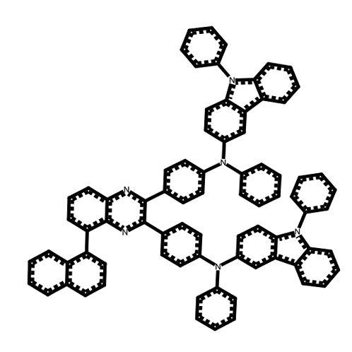 c1ccc(N(c2ccc(-c3nc4cccc(-c5cccc6ccccc56)c4nc3-c3ccc(N(c4ccccc4)c4ccc5c(c4)c4ccccc4n5-c4ccccc4)cc3)cc2)c2ccc3c(c2)c2ccccc2n3-c2ccccc2)cc1